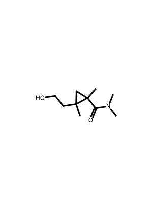 CN(C)C(=O)C1(C)CC1(C)CCO